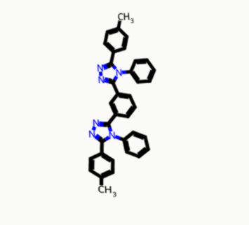 Cc1ccc(-c2nnc(-c3cccc(-c4nnc(-c5ccc(C)cc5)n4-c4ccccc4)c3)n2-c2ccccc2)cc1